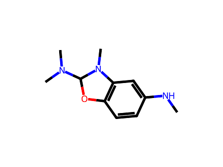 CNc1ccc2c(c1)N(C)C(N(C)C)O2